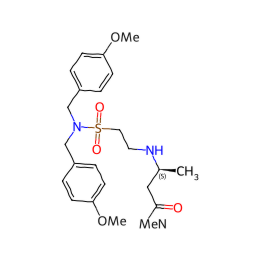 CNC(=O)C[C@H](C)NCCS(=O)(=O)N(Cc1ccc(OC)cc1)Cc1ccc(OC)cc1